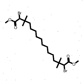 COC(=O)C(Br)C(C)(C)CCCCCCCCCCC(C)(C)C(Br)C(=O)OC